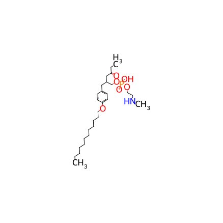 CCCCCCCCCCCCOc1ccc(CC(COP(=O)(O)OCCNC)CC(=O)CC)cc1